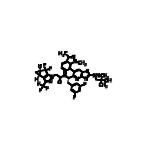 Cc1nn(C)c2c(-c3cc4sc(NCC(C)(C)O)nc4nc3[C@H](Cc3cc(F)cc(F)c3)NC(=O)Cn3nc(C(F)(F)F)c4c3C(F)(F)[C@@H]3C[C@H]43)cccc12